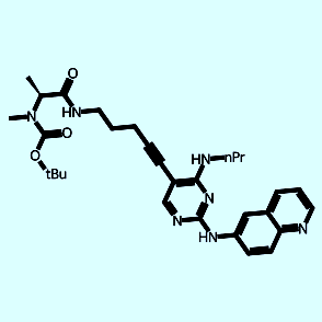 CCCNc1nc(Nc2ccc3ncccc3c2)ncc1C#CCCCNC(=O)[C@H](C)N(C)C(=O)OC(C)(C)C